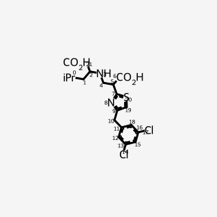 CC(C)CC(NCC(C(=O)O)c1nc(Cc2cc(Cl)cc(Cl)c2)cs1)C(=O)O